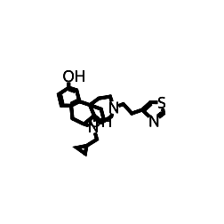 Oc1ccc2c(c1)C13CCN(CCc4cscn4)CCC1(O)C(C2)N(CC1CC1)CC3